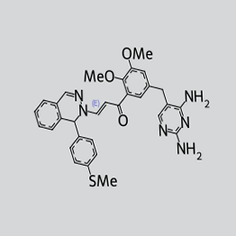 COc1cc(Cc2cnc(N)nc2N)cc(C(=O)/C=C/N2N=Cc3ccccc3C2c2ccc(SC)cc2)c1OC